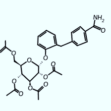 CC(=O)OC[C@H]1O[C@H](Oc2ccccc2Cc2ccc(C(N)=O)cc2)[C@H](OC(C)=O)[C@@H](OC(C)=O)[C@@H]1OC(C)=O